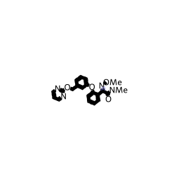 CNC(=O)/C(=N\OC)c1ccccc1Oc1cccc(COc2ncccn2)c1